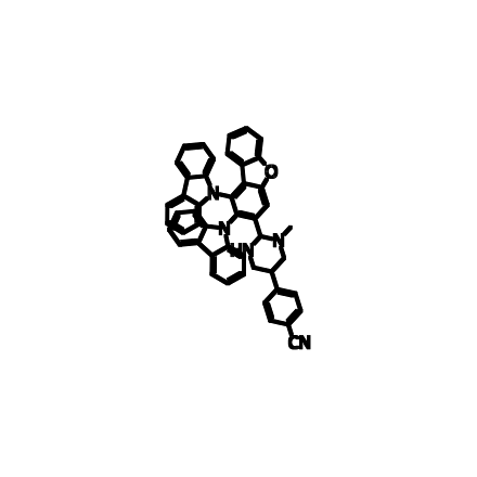 CN1CC(c2ccc(C#N)cc2)CNC1c1cc2oc3ccccc3c2c(-n2c3ccccc3c3ccccc32)c1-n1c2ccccc2c2ccccc21